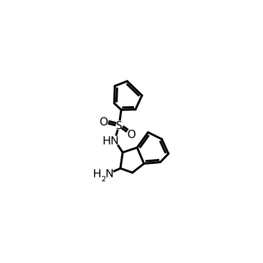 NC1Cc2ccccc2C1NS(=O)(=O)c1ccccc1